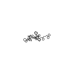 CC[C@H](Nc1ncnc2c1ncn2C1CCCCO1)c1nc2cccc(CC(=O)CCCC(=O)OC)c2c(=O)n1-c1ccccc1